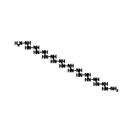 NNNNNNNNNNNNNNNNNNNNNN